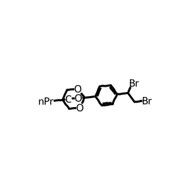 CCCC12COC(c3ccc(C(Br)CBr)cc3)(OC1)OC2